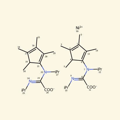 CC1=C(C)C(C)C(N(C(=NC(C)C)C(=O)[O-])C(C)C)=C1C.CC1=C(C)C(C)C(N(C(=NC(C)C)C(=O)[O-])C(C)C)=C1C.[Ni+2]